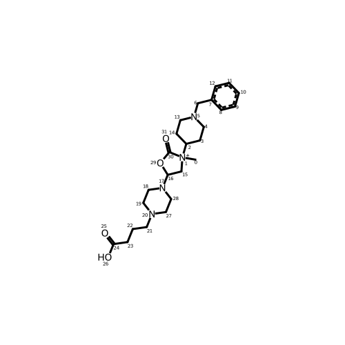 C[N+]1(C2CCN(Cc3ccccc3)CC2)CC(N2CCN(CCCC(=O)O)CC2)OC1=O